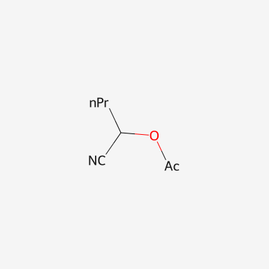 CCCC(C#N)OC(C)=O